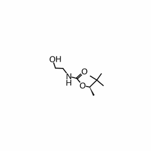 C[C@@H](OC(=O)NCCO)C(C)(C)C